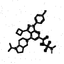 CC(C)N1CCC2CN(c3cc(C(=O)NS(=O)(=O)N(C)C)nc4c3c(C3CCC3)nn4-c3ccc(F)cc3)CCC21